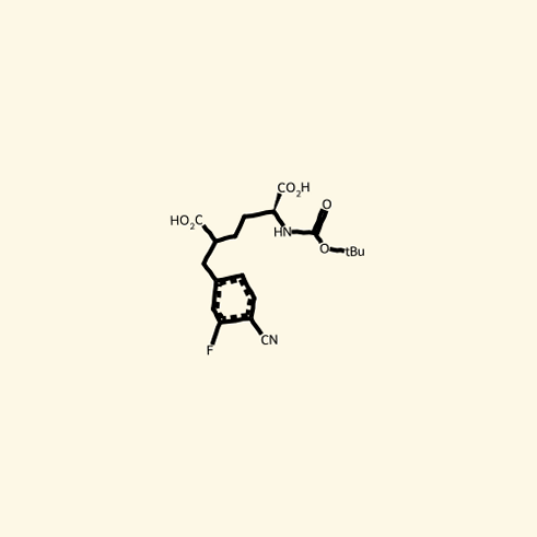 CC(C)(C)OC(=O)N[C@@H](CCC(Cc1ccc(C#N)c(F)c1)C(=O)O)C(=O)O